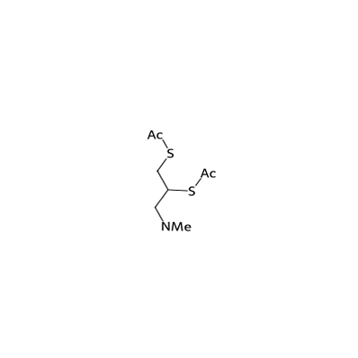 CNCC(CSC(C)=O)SC(C)=O